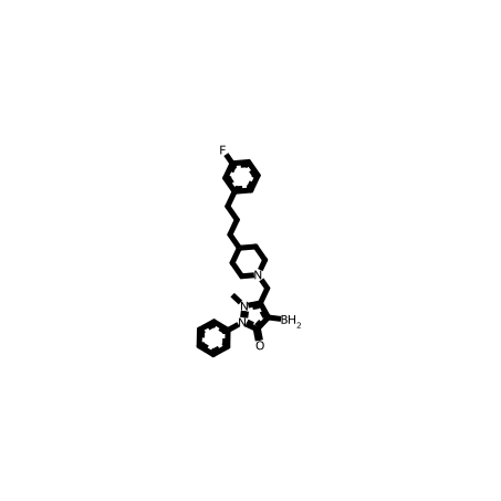 Bc1c(CN2CCC(CCCc3cccc(F)c3)CC2)n(C)n(-c2ccccc2)c1=O